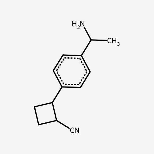 CC(N)c1ccc(C2CCC2C#N)cc1